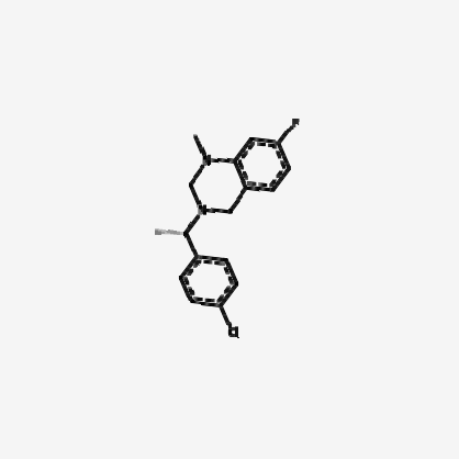 C[C@@H](c1ccc(Cl)cc1)N1Cc2ccc(F)cc2N(C)C1